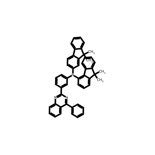 CC1(C)c2ccccc2-c2ccc(N(c3cccc(-c4nc(-c5ccccc5)c5ccccc5n4)c3)c3cccc4c3-c3ccccc3C4(C)C)cc21